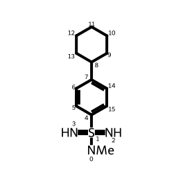 CNS(=N)(=N)c1ccc(C2CCCCC2)cc1